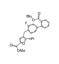 CCCc1oc(C(=O)OC)cc1Cc1ccc(-c2ccccc2C(=O)OC(C)(C)C)cc1F